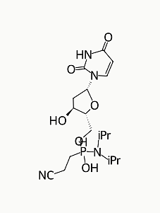 CC(C)N(C(C)C)[PH](O)(CCC#N)OC[C@H]1O[C@@H](n2ccc(=O)[nH]c2=O)C[C@@H]1O